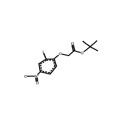 CC(C)(C)OC(=O)COc1ccc([N+](=O)[O-])cc1I